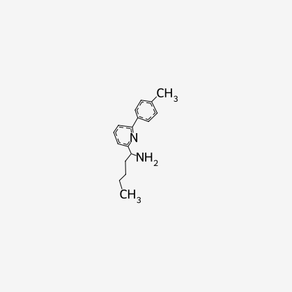 CCCCC(N)c1cccc(-c2ccc(C)cc2)n1